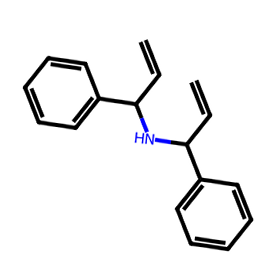 C=CC(NC(C=C)c1ccccc1)c1ccccc1